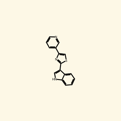 c1cncc(-c2csc(-c3c[nH]c4ccccc34)n2)c1